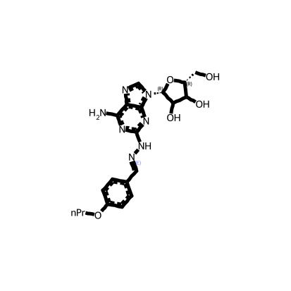 CCCOc1ccc(/C=N/Nc2nc(N)c3ncn([C@@H]4O[C@H](CO)C(O)C4O)c3n2)cc1